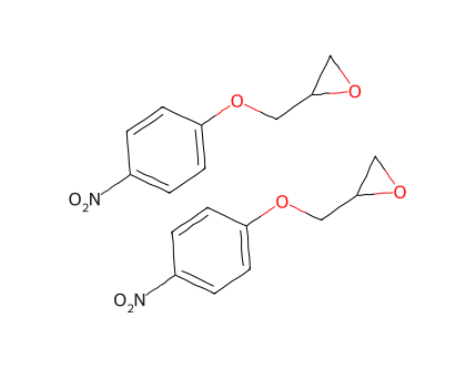 O=[N+]([O-])c1ccc(OCC2CO2)cc1.O=[N+]([O-])c1ccc(OCC2CO2)cc1